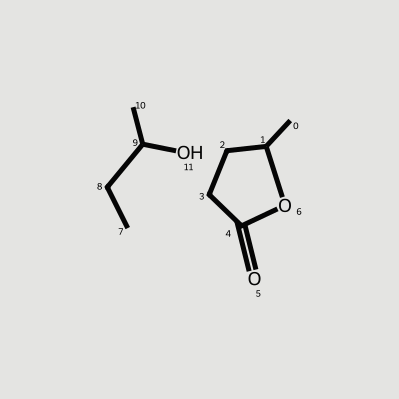 CC1CCC(=O)O1.CCC(C)O